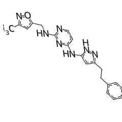 COc1ccc(CCc2cc(Nc3ccnc(NCc4cc(C)no4)n3)[nH]n2)cc1